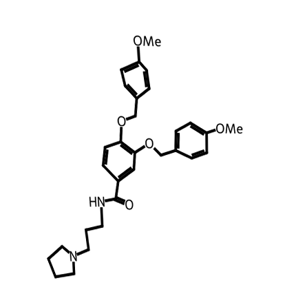 COc1ccc(COc2ccc(C(=O)NCCCN3CCCC3)cc2OCc2ccc(OC)cc2)cc1